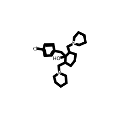 OC1(Cc2ccc(Cl)cc2)C(CN2CCCCC2)CCCC1CN1CCCCC1